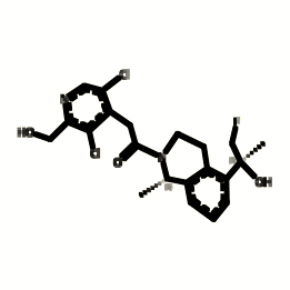 C[C@H]1c2cccc([C@](C)(O)CF)c2CCN1C(=O)Cc1c(Cl)cnc(CO)c1Cl